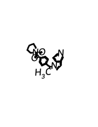 CC(c1ccc(S(=O)(=O)N2CCCCC2)cc1)n1ccc2cnccc21